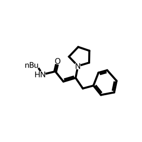 CCCCNC(=O)C=C(Cc1ccccc1)N1CCCC1